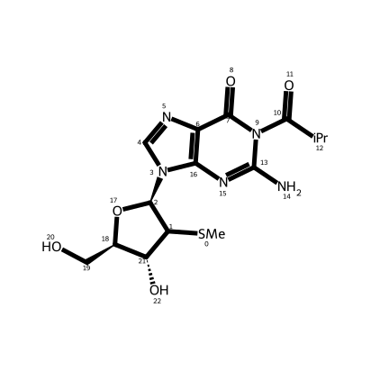 CSC1[C@H](n2cnc3c(=O)n(C(=O)C(C)C)c(N)nc32)O[C@H](CO)[C@H]1O